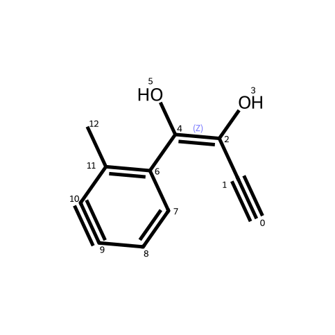 C#C/C(O)=C(/O)c1ccc#cc1C